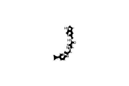 O=C(NCc1cc2c(cn1)NCC2)c1cn(Cc2cn3cc(C4CC4)ccc3n2)nn1